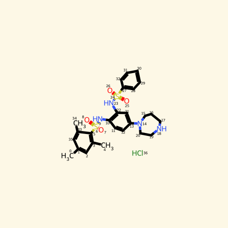 Cc1cc(C)c(S(=O)(=O)Nc2ccc(N3CCCNCC3)cc2NS(=O)(=O)c2ccccc2)c(C)c1.Cl